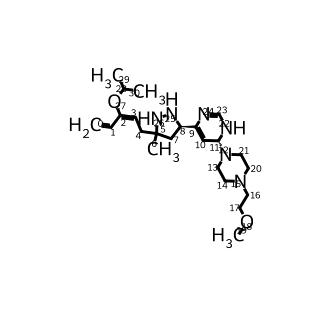 C=C/C(=C\CC1(C)C[C@H](C2=C[C@@H](N3CCN(CCOC)CC3)NC=N2)NN1)OC(C)C